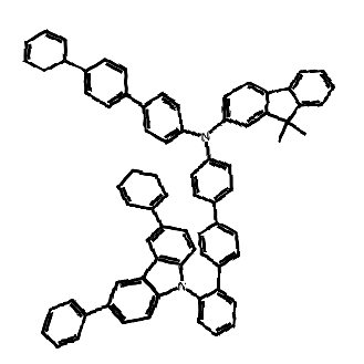 CC1(C)c2ccccc2-c2ccc(N(c3ccc(-c4ccc(-c5ccccc5-n5c6ccc(C7=CCCC=C7)cc6c6cc(-c7ccccc7)ccc65)cc4)cc3)c3ccc(-c4ccc(C5C=CC=CC5)cc4)cc3)cc21